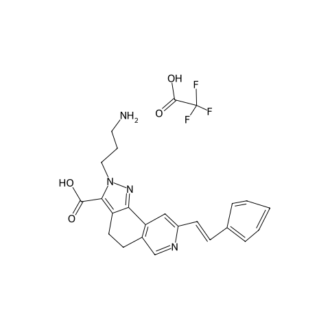 NCCCn1nc2c(c1C(=O)O)CCc1cnc(/C=C/c3ccccc3)cc1-2.O=C(O)C(F)(F)F